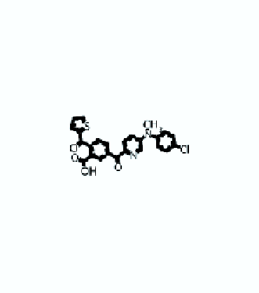 CN(c1ccc(Cl)cc1)c1ccc(C(=O)c2ccc(C(=O)c3cccs3)c(C(=O)O)c2)nc1